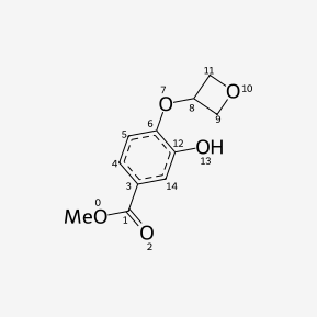 COC(=O)c1ccc(OC2COC2)c(O)c1